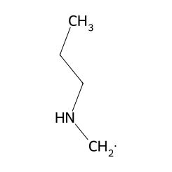 [CH2]NCCC